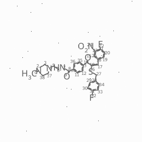 CN1CCN(CCNC(=O)c2ccc(C(=O)/C(=C\c3ccc(F)c([N+](=O)[O-])c3)SCc3ccc(F)cc3)cc2)CC1